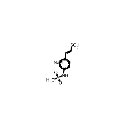 CS(=O)(=O)Nc1ccc(/C=C/S(=O)(=O)O)cc1.[NaH]